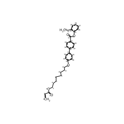 C=CC(=O)OCCCCCCCCOc1ccc(-c2ccc(C(=O)Oc3ccccc3CC)cc2)cc1